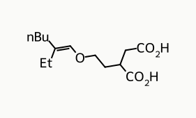 CCCCC(=COCCC(CC(=O)O)C(=O)O)CC